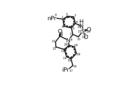 CCCc1ccc2c(c1)C(N1C(=O)CCc3cc(CC(C)C)ccc31)CS(=O)(=O)N2